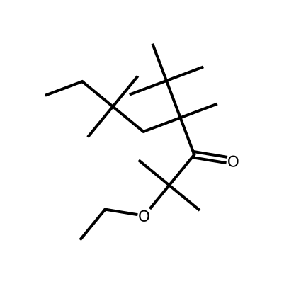 CCOC(C)(C)C(=O)C(C)(CC(C)(C)CC)C(C)(C)C